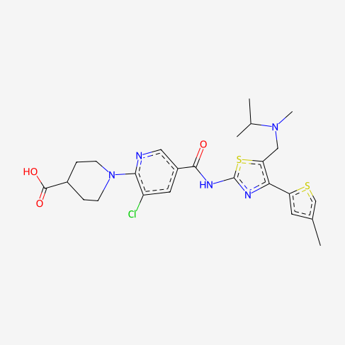 Cc1csc(-c2nc(NC(=O)c3cnc(N4CCC(C(=O)O)CC4)c(Cl)c3)sc2CN(C)C(C)C)c1